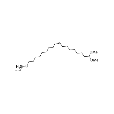 C=C[SiH2]OCCCCCCCC/C=C\CCCCCCCC(OC)OC